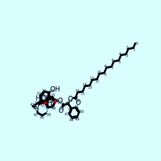 CCCCCCCCCCCCCCCCCC(=O)O[C@H](C(=O)OC1=CC[C@@]2(O)[C@H]3Cc4ccc(O)c5c4[C@@]2(CCCN3C)[C@H]1O5)c1ccccc1